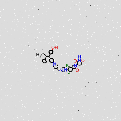 CC/C(=C(\c1ccc(O)cc1)c1ccc(N2CCC(CN3CCN(c4c(F)cc5c(c4F)CN(C4CCC(=O)NC4=O)C5=O)CC3)CC2)cc1)c1ccccc1